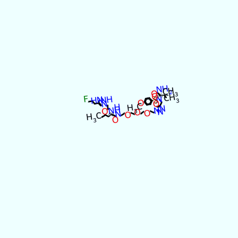 CCCC[C@@H](NC(=O)CN1C=C(CCCF)NN1)C(=O)NCCOCCOCCOCCn1cc(CN([C@@H](C(N)=O)C(C)C)S(=O)(=O)c2ccc(OC)cc2)nn1